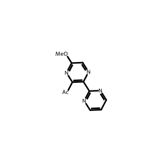 COc1cnc(-c2ncccn2)c(C(C)=O)n1